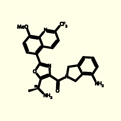 COc1ccc(-c2nc(C(=O)N3Cc4cccc(N)c4C3)c([C@H](C)N)o2)c2ccc(C(F)(F)F)nc12